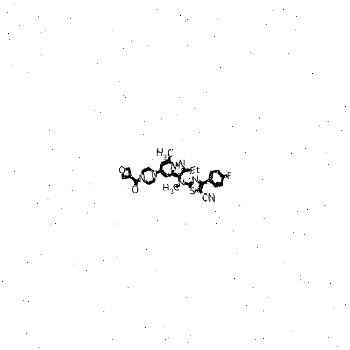 CCc1nn2c(C)cc(N3CCN(C(=O)C4COC4)CC3)cc2c1N(C)c1nc(-c2ccc(F)cc2)c(C#N)s1